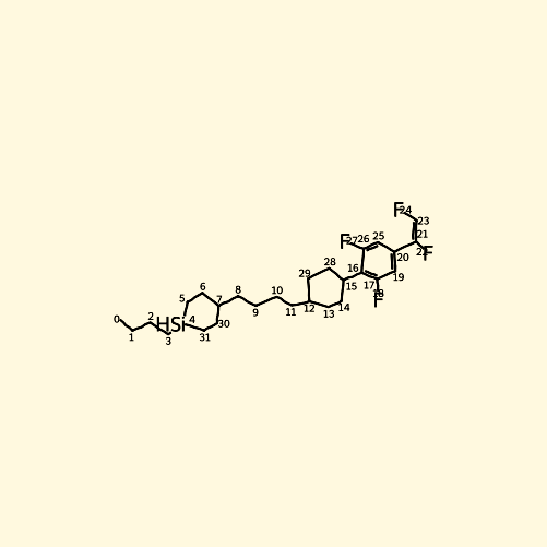 CCCC[SiH]1CCC(CCCCC2CCC(c3c(F)cc(/C(F)=C\F)cc3F)CC2)CC1